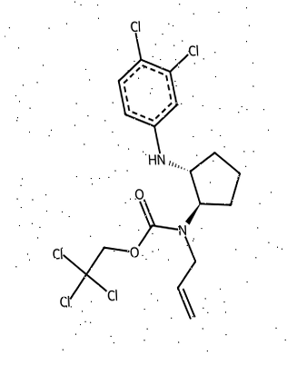 C=CCN(C(=O)OCC(Cl)(Cl)Cl)[C@@H]1CCC[C@H]1Nc1ccc(Cl)c(Cl)c1